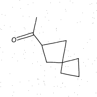 CC(=O)C1CC2(CCC2)C1